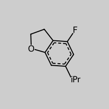 CC(C)c1cc(F)c2c(c1)OCC2